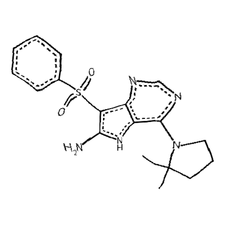 CC1(C)CCCN1c1ncnc2c(S(=O)(=O)c3ccccc3)c(N)[nH]c12